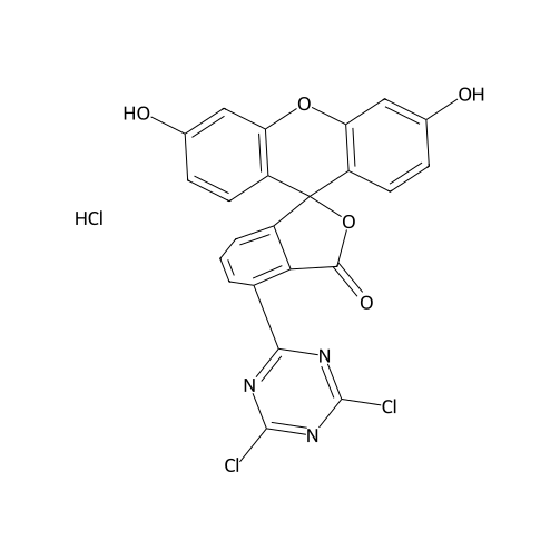 Cl.O=C1OC2(c3ccc(O)cc3Oc3cc(O)ccc32)c2cccc(-c3nc(Cl)nc(Cl)n3)c21